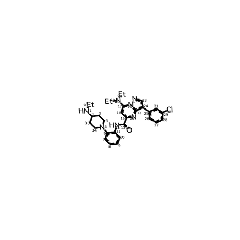 CCNC1CCN(c2ccccc2NC(=O)c2cc(N(CC)CC)n3ncc(-c4cccc(Cl)c4)c3n2)CC1